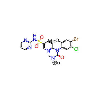 COc1cc(Br)c(Cl)cc1N(C(=O)N(C)C(C)(C)C)c1ccc(S(=O)(=O)Nc2ncccn2)cn1